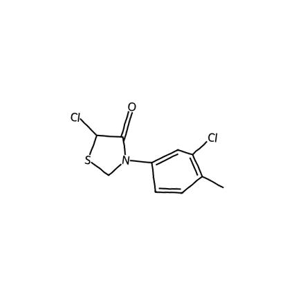 Cc1ccc(N2CSC(Cl)C2=O)cc1Cl